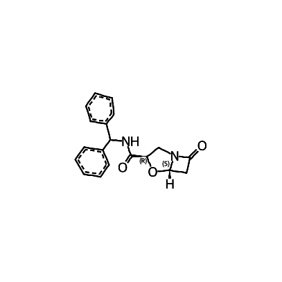 O=C(NC(c1ccccc1)c1ccccc1)[C@H]1CN2C(=O)C[C@@H]2O1